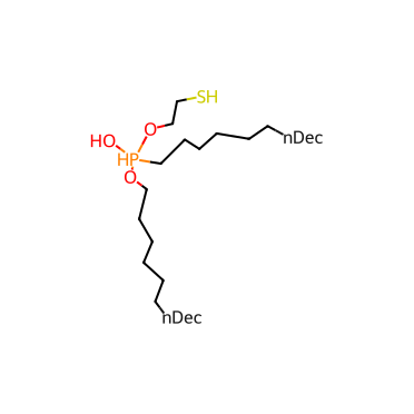 CCCCCCCCCCCCCCCCO[PH](O)(CCCCCCCCCCCCCCCC)OCCS